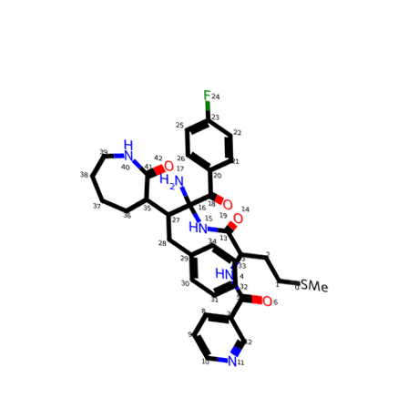 CSCCC(NC(=O)c1cccnc1)C(=O)NC(N)(C(=O)c1ccc(F)cc1)C(Cc1ccccc1)C1CCCCNC1=O